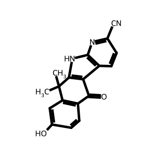 CC1(C)c2cc(O)ccc2C(=O)c2c1[nH]c1nc(C#N)ccc21